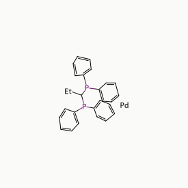 CCC(P(c1ccccc1)c1ccccc1)P(c1ccccc1)c1ccccc1.[Pd]